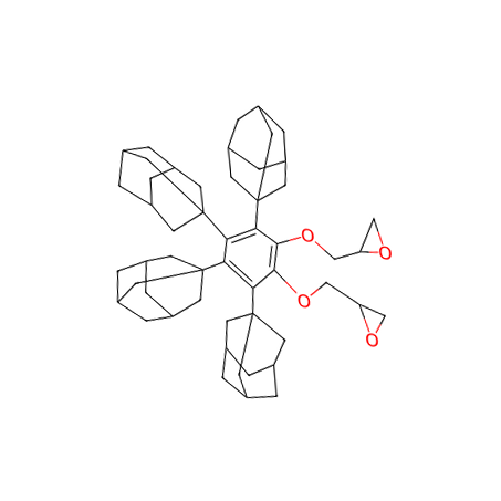 C1C2CC3CC1CC(c1c(OCC4CO4)c(OCC4CO4)c(C45CC6CC(CC(C6)C4)C5)c(C45CC6CC(CC(C6)C4)C5)c1C14CC5CC(CC(C5)C1)C4)(C2)C3